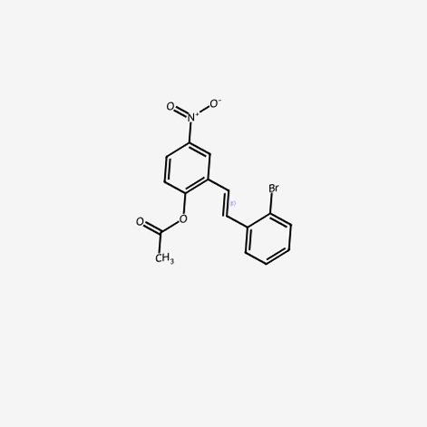 CC(=O)Oc1ccc([N+](=O)[O-])cc1/C=C/c1ccccc1Br